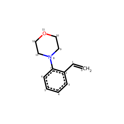 C=Cc1ccccc1N1CCOCC1